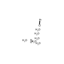 O.O.O.O.O.O.O.[Cl][Pr]